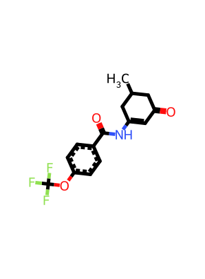 CC1CC(=O)C=C(NC(=O)c2ccc(OC(F)(F)F)cc2)C1